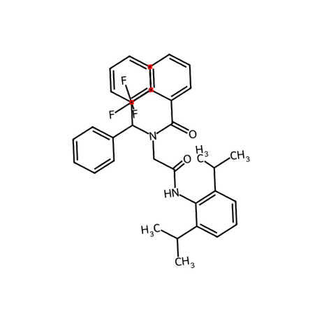 CC(C)c1cccc(C(C)C)c1NC(=O)CN(C(=O)c1ccccc1C(F)(F)F)C(c1ccccc1)c1ccccc1